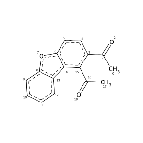 CC(=O)c1ccc2oc3ccccc3c2c1C(C)=O